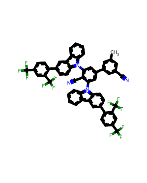 Cc1cc(C#N)cc(-c2cc(-n3c4ccccc4c4cc(-c5ccc(C(F)(F)F)cc5C(F)(F)F)ccc43)c(C#N)c(-n3c4ccccc4c4cc(-c5ccc(C(F)(F)F)cc5C(F)(F)F)ccc43)c2)c1